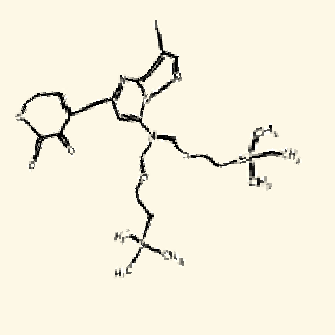 C[Si](C)(C)CCOCN(COCC[Si](C)(C)C)c1cc(C2CCSC(=O)C2=O)nc2c(I)cnn12